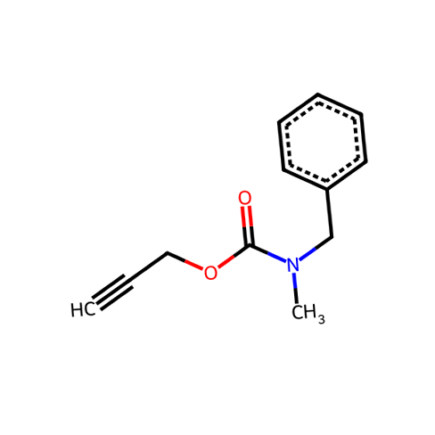 C#CCOC(=O)N(C)Cc1ccccc1